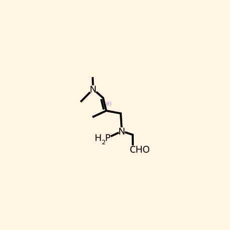 C/C(=C\N(C)C)CN(P)CC=O